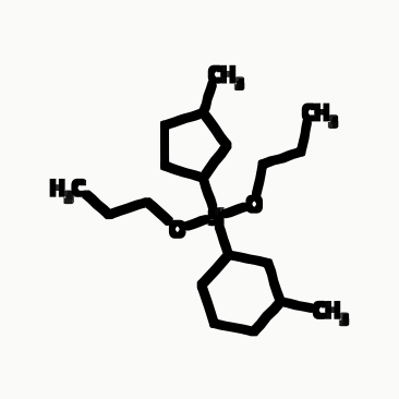 CCCO[Si](OCCC)(C1CCCC(C)C1)C1CCC(C)C1